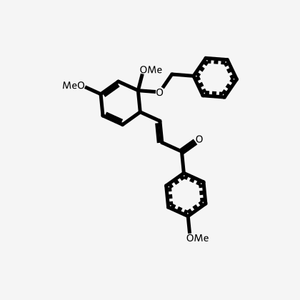 COC1=CC(OC)(OCc2ccccc2)C(C=CC(=O)c2ccc(OC)cc2)C=C1